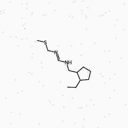 CCC1CCCC1CN/C=N/CSC